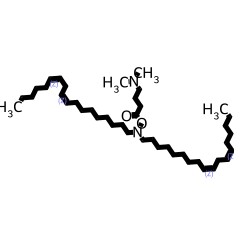 CCCCC/C=C\C/C=C\CCCCCCCCN(CCCCCCCC/C=C\C/C=C\CCCCC)OC(=O)CCCN(C)C